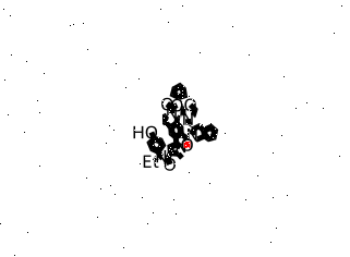 CCN(C(=O)c1cc(-c2cc3c(cc2C(=O)N2Cc4ccccc4C[C@H]2CN2CCOCC2)CN(C(=O)Oc2ccccc2)CC3)n(C)c1C)c1ccc(O)cc1